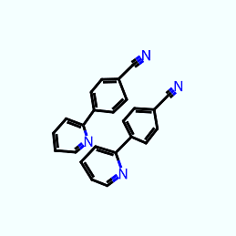 N#Cc1ccc(-c2ccccn2)cc1.N#Cc1ccc(-c2ccccn2)cc1